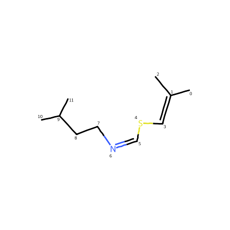 CC(C)=CS/C=N\CCC(C)C